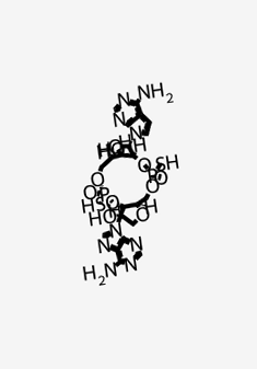 Nc1ncnc2c1ccn2[C@@H]1O[C@@H]2COP(=O)(S)O[C@@H]3[C@@H](COP(=O)(S)O[C@@H]1[C@@H]2O)OC[C@]3(O)n1cnc2c(N)ncnc21